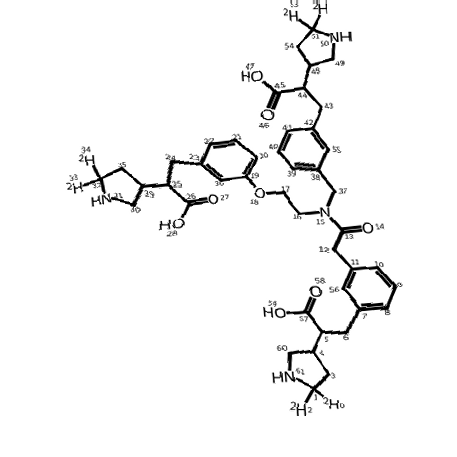 [2H]C1([2H])CC(C(Cc2cccc(CC(=O)N(CCOc3cccc(CC(C(=O)O)C4CNC([2H])([2H])C4)c3)Cc3cccc(CC(C(=O)O)C4CNC([2H])([2H])C4)c3)c2)C(=O)O)CN1